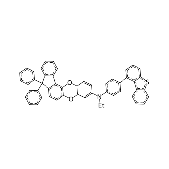 CCN(C1=CC2Oc3ccc4c(c3OC2C=C1)-c1ccccc1C4(c1ccccc1)c1ccccc1)c1ccc(-c2cccc3sc4ccccc4c23)cc1